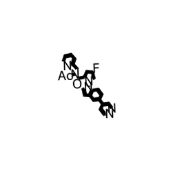 CC(=O)N(Cc1ccccn1)C(=O)C1CC(F)CN1n1ccc2cc(-c3ccnnc3)ccc21